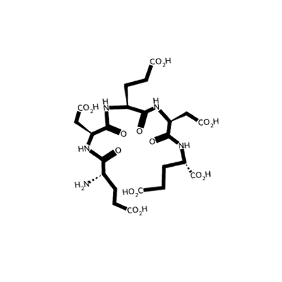 N[C@@H](CCC(=O)O)C(=O)N[C@@H](CC(=O)O)C(=O)N[C@@H](CCC(=O)O)C(=O)N[C@@H](CC(=O)O)C(=O)N[C@@H](CCC(=O)O)C(=O)O